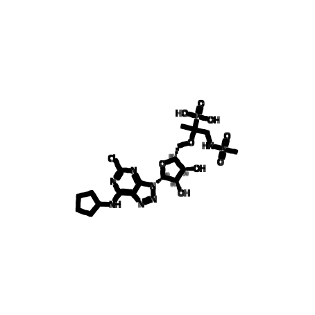 CC(CNS(C)(=O)=O)(OC[C@H]1O[C@@H](n2nnc3c(NC4CCCC4)nc(Cl)nc32)[C@H](O)[C@@H]1O)P(=O)(O)O